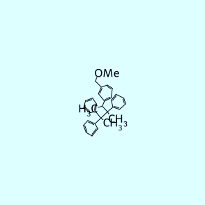 COCc1cccc(C(C)C(C)(c2ccccc2)C(C)(c2ccccc2)c2ccccc2)c1